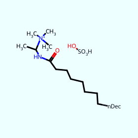 CCCCCCCCCCCCCCCCCC(=O)NC(C)[N+](C)(C)C.O=S(=O)(O)O